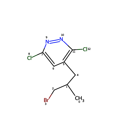 CC(CBr)Cc1cc(Cl)nnc1Cl